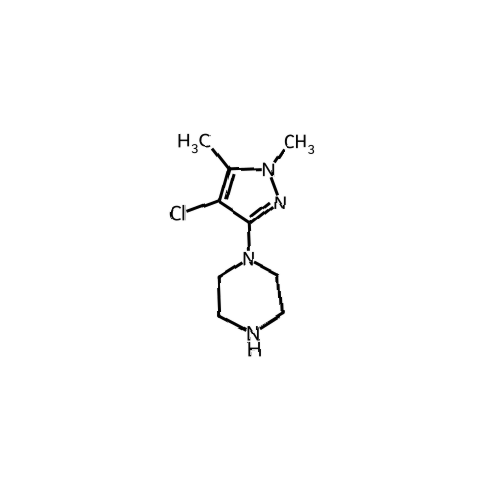 Cc1c(Cl)c(N2CCNCC2)nn1C